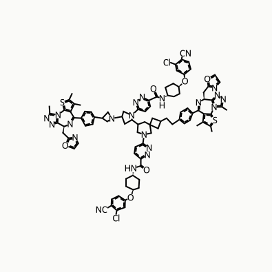 Cc1sc2c(c1C)C(c1ccc(CCC3CC4(C3)CC(C3CC(N5CC(c6ccc(C7=N[C@@H](Cc8ncco8)c8nnc(C)n8-c8sc(C)c(C)c87)cc6)C5)CN3c3ccc(C(=O)N[C@H]5CC[C@H](Oc6ccc(C#N)c(Cl)c6)CC5)nn3)CN(c3ccc(C(=O)N[C@H]5CC[C@H](Oc6ccc(C#N)c(Cl)c6)CC5)nn3)C4)cc1)=N[C@@H](Cc1ncco1)c1nnc(C)n1-2